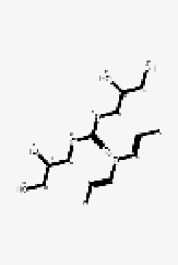 CC=COC=CC.O=C(OCC(O)CO)OCC(O)CO